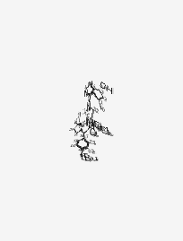 C[C@@H]1C[C@@H](O)c2ncnc(N3CCN(C(=O)C(c4ccc(C(C)(C)C)cc4)C4CCC(C)(C)N4)CC3)c21.Cl.Cl